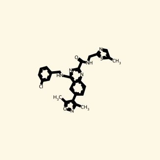 Cc1cnc(CNC(=O)c2nc(NCc3cccc(Cl)c3)c3cc(-c4c(C)noc4C)ccc3n2)s1